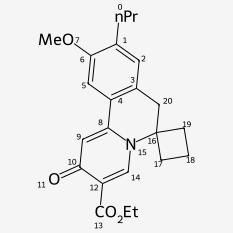 CCCc1cc2c(cc1OC)-c1cc(=O)c(C(=O)OCC)cn1C1(CCC1)C2